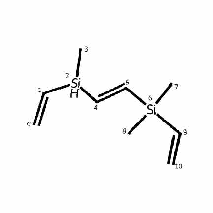 C=C[SiH](C)C=C[Si](C)(C)C=C